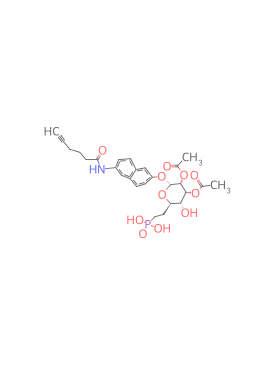 C#CCCCC(=O)Nc1ccc2cc(O[C@H]3O[C@H](CCP(=O)(O)O)[C@@H](O)[C@H](OC(C)=O)[C@@H]3OC(C)=O)ccc2c1